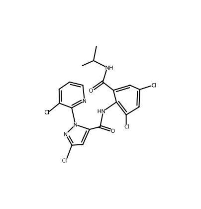 CC(C)NC(=O)c1cc(Cl)cc(Cl)c1NC(=O)c1cc(Cl)nn1-c1ncccc1Cl